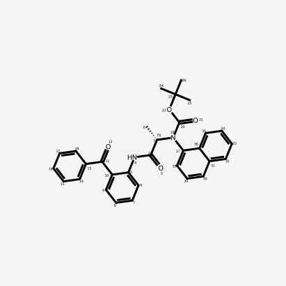 C[C@@H](C(=O)Nc1ccccc1C(=O)c1ccccc1)N(C(=O)OC(C)(C)C)c1cccc2ccccc12